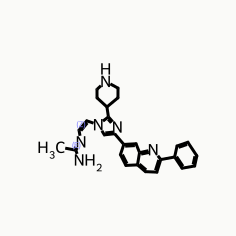 C/C(N)=N\C=C/n1cc(-c2ccc3ccc(-c4ccccc4)nc3c2)nc1C1CCNCC1